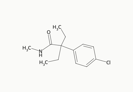 CCC(CC)(C(=O)NC)c1ccc(Cl)cc1